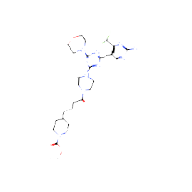 CC(C)(C)OC(=O)N1CCC(CCCC(=O)N2CCN(c3nc(-c4cnc(N)nc4C(F)F)nc(N4CCOCC4)n3)CC2)CC1